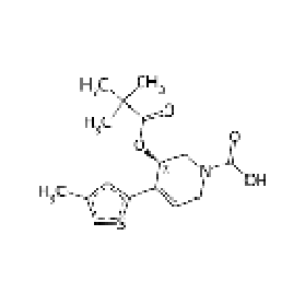 Cc1csc(C2=CCN(C(=O)O)C[C@@H]2OC(=O)C(C)(C)C)c1